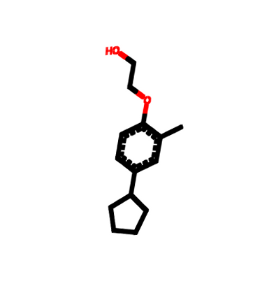 Cc1cc(C2CCCC2)ccc1OCCO